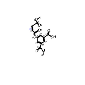 COC(=O)/C=C\C(=O)Oc1cc(C(=O)O)cc(C(=O)OI)c1